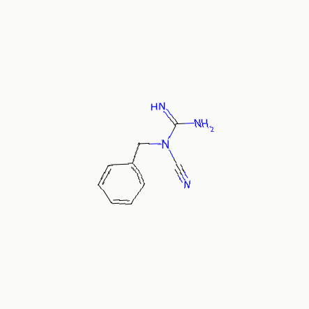 N#CN(Cc1ccccc1)C(=N)N